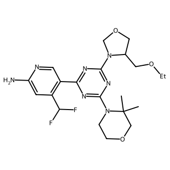 CCOCC1COCN1c1nc(-c2cnc(N)cc2C(F)F)nc(N2CCOCC2(C)C)n1